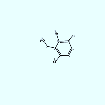 Cc1ccc(Cl)c(CO)c1Br